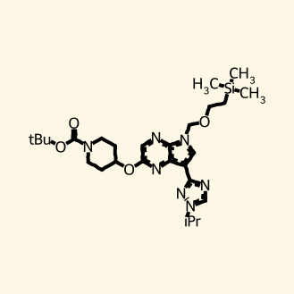 CC(C)n1cnc(-c2cn(COCC[Si](C)(C)C)c3ncc(OC4CCN(C(=O)OC(C)(C)C)CC4)nc23)n1